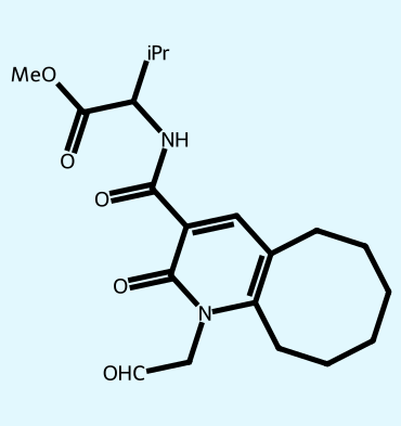 COC(=O)C(NC(=O)c1cc2c(n(CC=O)c1=O)CCCCCC2)C(C)C